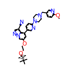 COc1ccc(CN2CCN(c3ccc(-c4cc(OCCO[Si](C)(C)C(C)(C)C)cn5ncc(C#N)c45)cn3)CC2)cn1